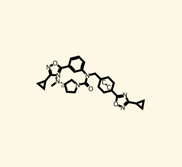 CN(C)[C@H]1CCN(C(=O)N(CC23CCC(c4nc(C5CC5)no4)(CC2)CC3)c2cccc(-c3nc(C4CC4)no3)c2)C1